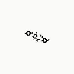 C[C@@H]1CN(Cc2ccc(F)cc2)[C@@H](C)CN1C(=O)COc1ccc(Cl)cc1C#N